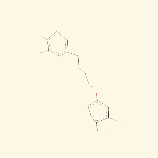 CC(C)(C)c1cc(CCCCOc2ccc(C(=O)O)c(O)c2)cc(O)c1O